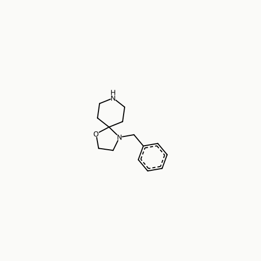 c1ccc(CN2CCOC23CCNCC3)cc1